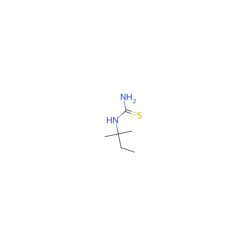 CCC(C)(C)NC(N)=S